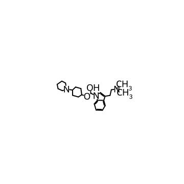 CN(C)CCc1cn(C(O)OC2CCC(N3CCCCC3)CC2)c2ccccc12